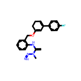 C=C(Nc1ccccc1COC1=CC(c2ccc(F)cc2)=CCC1)N(C)N=N